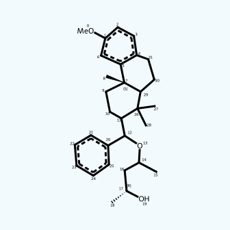 COc1ccc2c(c1)[C@@]1(C)CCC(C(OC(C)C[C@@H](C)O)c3ccccc3)C(C)(C)C1CC2